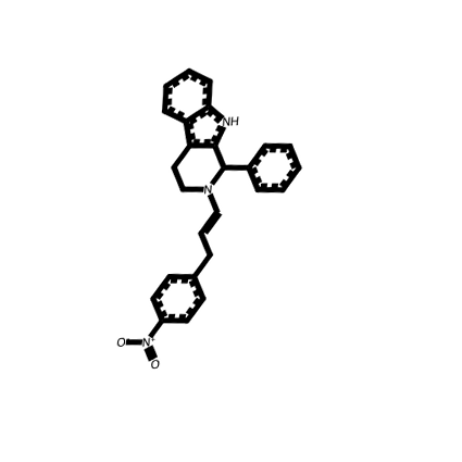 O=[N+]([O-])c1ccc(CC=CN2CCc3c([nH]c4ccccc34)C2c2ccccc2)cc1